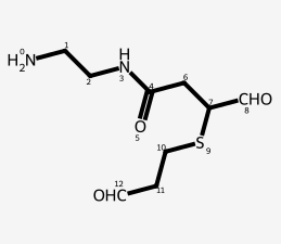 NCCNC(=O)CC(C=O)SCCC=O